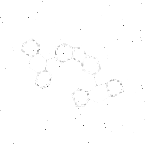 c1ccc2c(c1)Oc1ccccc1C2c1ccc2sc3ccc(C4c5ccccc5Oc5ccccc54)cc3c2c1